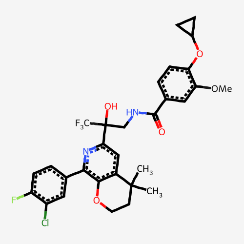 COc1cc(C(=O)NCC(O)(c2cc3c(c(-c4ccc(F)c(Cl)c4)n2)OCCC3(C)C)C(F)(F)F)ccc1OC1CC1